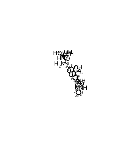 NC(CCc1cc(O)c(C(c2cccc(NS(=O)(=O)c3nc4ccccc4[nH]3)c2)C2CC2)c(=O)o1)C(=O)NC(CO)(CO)CO